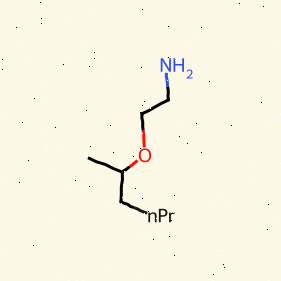 CCCCC(C)OCCN